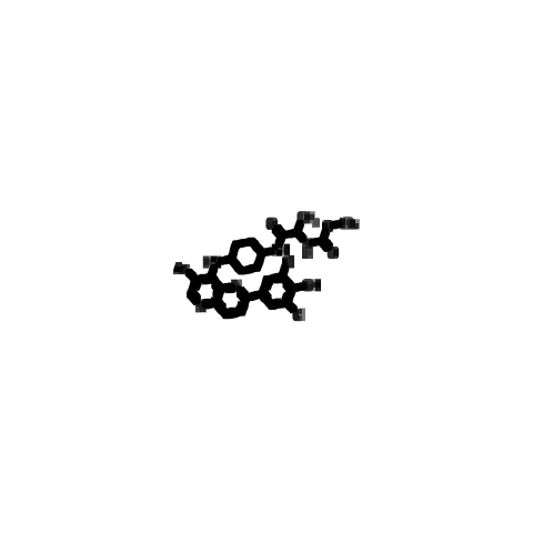 CC(=O)c1cnc2ccc(-c3cc(Cl)c(O)c(Cl)c3)nc2c1NC1CCC(NC(=O)C(C)NC(=O)OC(C)(C)C)CC1